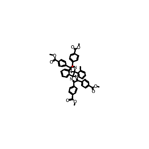 COC(=O)c1ccc(C2=NC(c3ccccc3C)(C3(c4ccccc4C)N=C(c4ccc(C(=O)OC)cc4)C(c4ccc(C(=O)OC)cc4)=N3)N=C2c2ccc(C(=O)OC)cc2)cc1